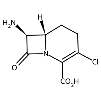 N[C@@H]1C(=O)N2C(C(=O)O)=C(Cl)CC[C@@H]12